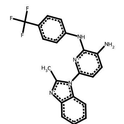 Cc1nc2ccccc2n1-c1ccc(N)c(Nc2ccc(C(F)(F)F)cc2)n1